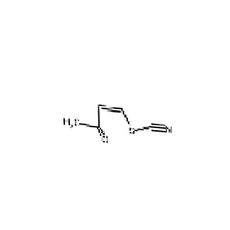 CC(=O)/C=C\SC#N